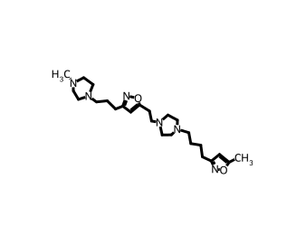 Cc1cc(CCCCN2CCN(CCc3cc(CCCN4CCN(C)CC4)no3)CC2)no1